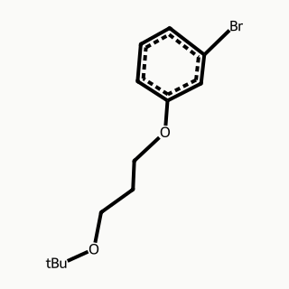 CC(C)(C)OCCCOc1cccc(Br)c1